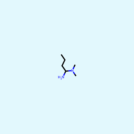 CCCC(N)N(C)C